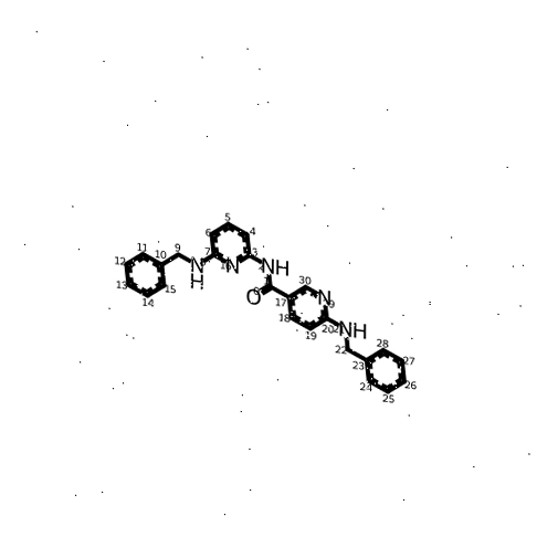 O=C(Nc1cccc(NCc2ccccc2)n1)c1ccc(NCc2ccccc2)nc1